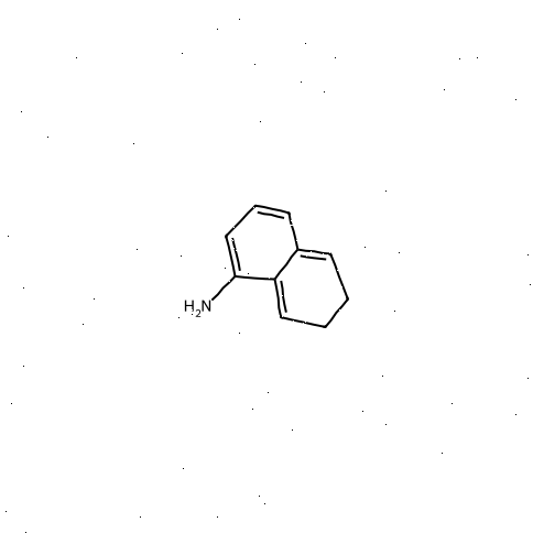 Nc1cccc2c1=CCCC=2